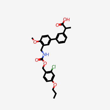 CCCOc1ccc(COC(=O)NCc2cc(-c3cccc(C(C)C(=O)O)c3)ccc2OC)c(Cl)c1